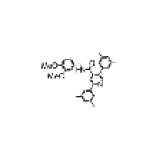 COc1ccc(CNC(=O)c2cc(-c3cc(C)cc(C)c3)ncc2-c2cc(C)cc(C)c2)cc1OC